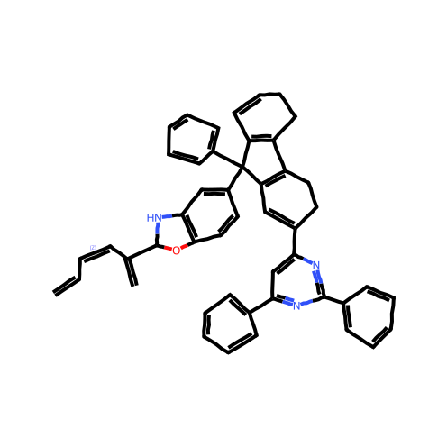 C=C/C=C\C(=C)C1Nc2cc(C3(c4ccccc4)C4=C(CCC=C4)C4=C3C=C(c3cc(-c5ccccc5)nc(-c5ccccc5)n3)CC4)ccc2O1